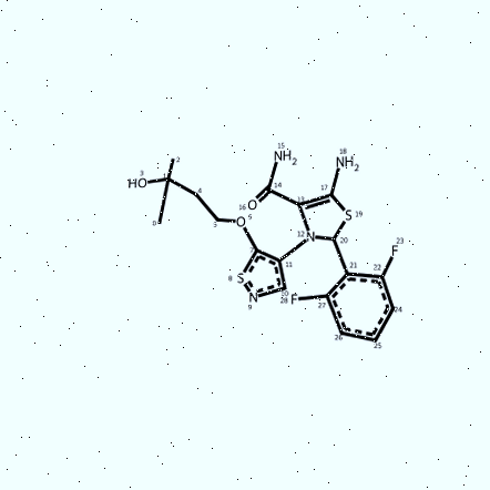 CC(C)(O)CCOc1sncc1N1C(C(N)=O)=C(N)SC1c1c(F)cccc1F